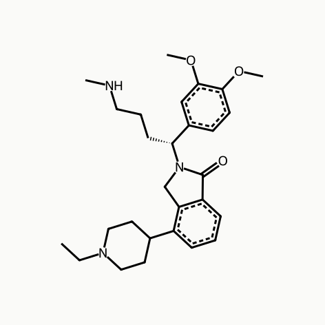 CCN1CCC(c2cccc3c2CN([C@H](CCCNC)c2ccc(OC)c(OC)c2)C3=O)CC1